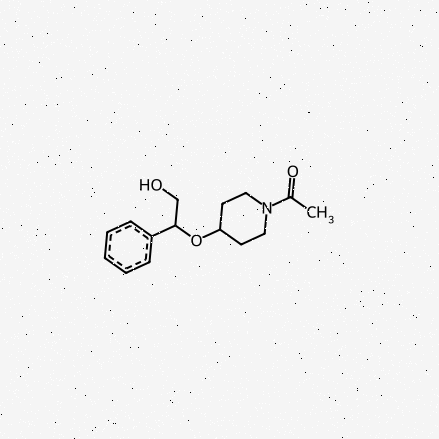 CC(=O)N1CCC(OC(CO)c2ccccc2)CC1